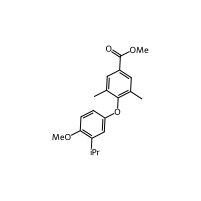 COC(=O)c1cc(C)c(Oc2ccc(OC)c(C(C)C)c2)c(C)c1